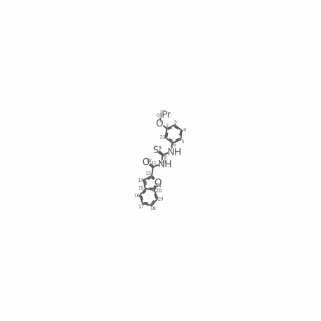 CC(C)Oc1cccc(NC(=S)NC(=O)c2cc3ccccc3o2)c1